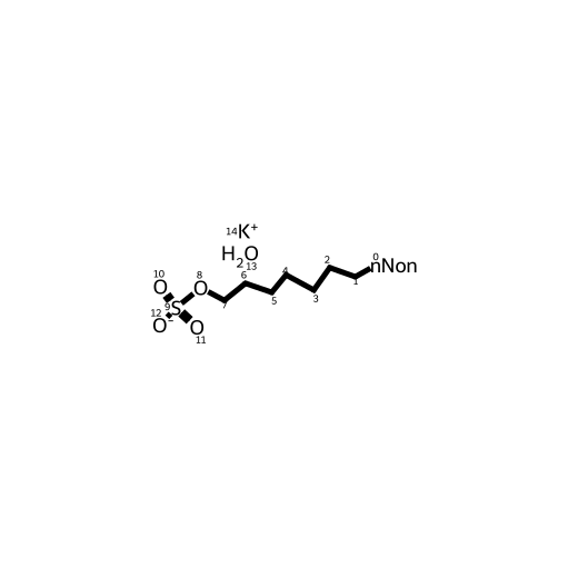 CCCCCCCCCCCCCCCCOS(=O)(=O)[O-].O.[K+]